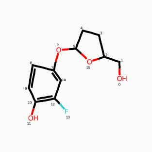 OCC1CCC(Oc2ccc(O)c(F)c2)O1